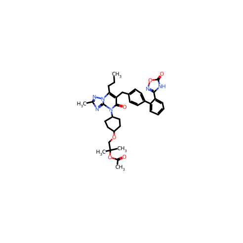 CCCc1c(Cc2ccc(-c3ccccc3-c3noc(=O)[nH]3)cc2)c(=O)n(C2CCC(OCC(C)(C)OC(C)=O)CC2)c2nc(C)nn12